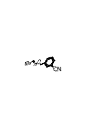 CC(C)(C)C=NOCc1cccc(C#N)c1